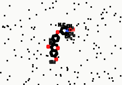 CC(C)(C)Oc1ccc2c(c1)OCC(C)(c1ccc(OC3=CC(C)(C)N(O)C(C)(C)C3)cc1)C2=O